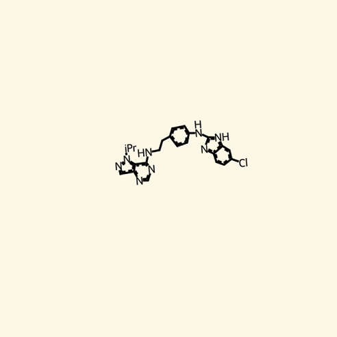 CC(C)n1ncc2ncnc(NCCc3ccc(Nc4nc5ccc(Cl)cc5[nH]4)cc3)c21